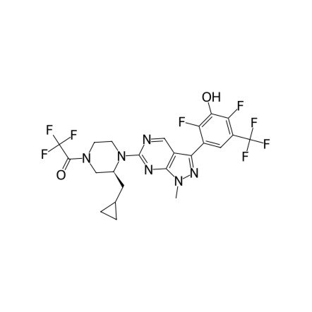 Cn1nc(-c2cc(C(F)(F)F)c(F)c(O)c2F)c2cnc(N3CCN(C(=O)C(F)(F)F)C[C@@H]3CC3CC3)nc21